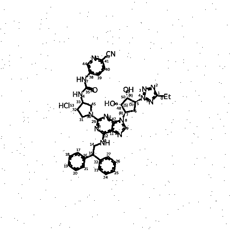 CCc1nnn([C@H]2C[C@@H](n3cnc4c(NCC(c5ccccc5)c5ccccc5)nc(N5CCC(NC(=O)Nc6ccc(C#N)nc6)C5)nc43)[C@H](O)[C@@H]2O)n1.Cl